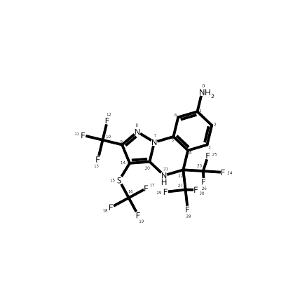 Nc1ccc2c(c1)-n1nc(C(F)(F)F)c(SC(F)(F)F)c1NC2(C(F)(F)F)C(F)(F)F